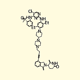 C=C1NC(=O)CCC1N1Cc2c(C#CCCN3CCN(C4CCN(c5cc(CC)c(Nc6ncc(Cl)c(Nc7ccccc7P(C)(C)=O)n6)cc5CC)CC4)CC3)cccc2C1=C